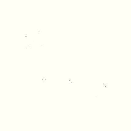 FC(F)(F)Oc1ccc(OC2CCN(c3[c]cc4ncsc4c3)CC2)cc1